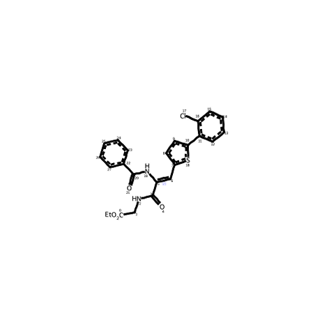 CCOC(=O)CNC(=O)/C(=C/c1ccc(-c2ccccc2Cl)s1)NC(=O)c1ccccc1